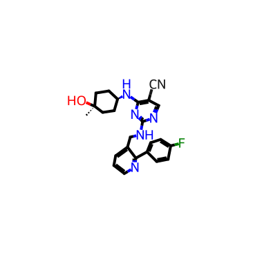 C[C@]1(O)CC[C@@H](Nc2nc(NCc3cccnc3-c3ccc(F)cc3)ncc2C#N)CC1